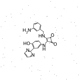 Nc1cccc(CNc2c(Nc3ccc(O)c(-c4ncccn4)c3)c(=O)c2=O)c1